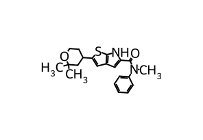 CN(C(=O)c1cc2cc(C3CCOC(C)(C)C3)sc2[nH]1)c1ccccc1